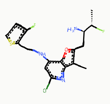 Cc1c(C[C@@H](N)[C@H](C)F)oc2c(NCc3sccc3F)cc(Cl)nc12